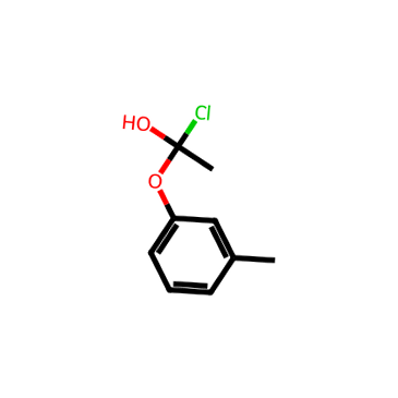 Cc1cccc(OC(C)(O)Cl)c1